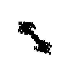 COC(=O)N[C@H](C(=O)N1[C@H](C)[C@H](C)C[C@H]1c1nc2ccc(-c3ccc4nc(-c5ccc6nc([C@@H]7C[C@@H](C)[C@@H](C)N7C(=O)[C@@H](NC(=O)OC)C(C)C)[nH]c6c5)cnc4c3)cc2[nH]1)C(C)C